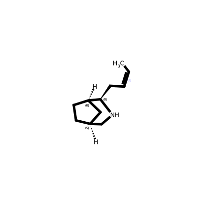 C/C=C\C[C@H]1NC[C@H]2CC[C@@H]1C2